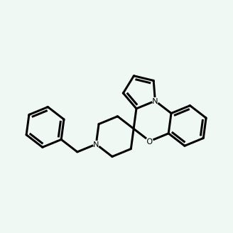 c1ccc(CN2CCC3(CC2)Oc2ccccc2-n2cccc23)cc1